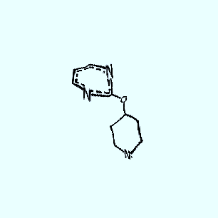 c1cnc(OC2CC[N]CC2)nc1